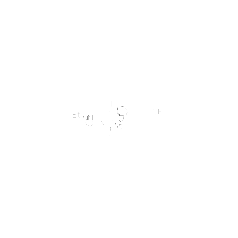 CCn1ccc(C2=CC(=O)N(S(=O)(=O)C3CC3)C(c3ccc(CCCCC(F)(F)F)cc3F)(C(F)(F)F)C2)n1